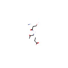 CN[C@H](C(=O)N[C@@H](CCC(=O)O)C(C)=O)[C@@H](C)O